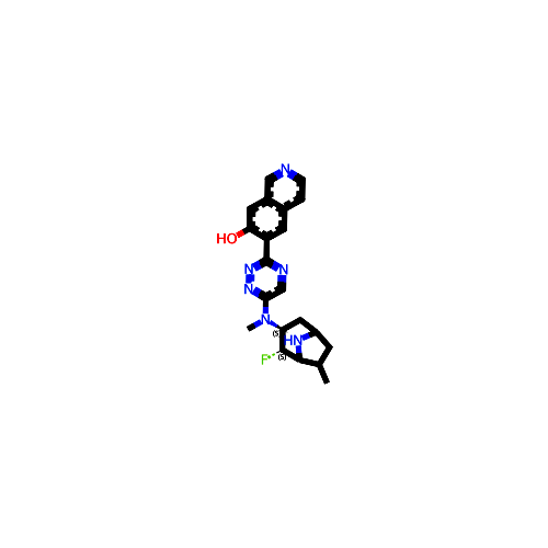 CC1CC2C[C@H](N(C)c3cnc(-c4cc5ccncc5cc4O)nn3)[C@@H](F)C1N2